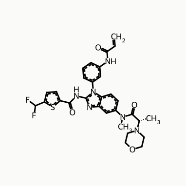 C=CC(=O)Nc1cccc(-n2c(NC(=O)c3ccc(C(F)F)s3)nc3cc(N(C)C(=O)[C@H](C)N4CCOCC4)ccc32)c1